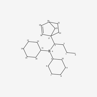 CCCC(B(C1CCCCC1)C1CCCCC1)C12C=CC(CC1)C2